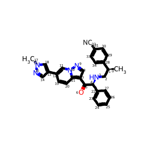 C[C@@H](CN[C@H](C(=O)c1cnn2cc(-c3cnn(C)c3)ccc12)c1ccccc1)c1ccc(C#N)cc1